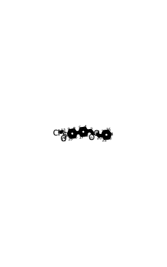 O=C(Cc1ccc(-c2ccc([S+]([O-])CCl)cc2)cc1)OCc1ccccc1